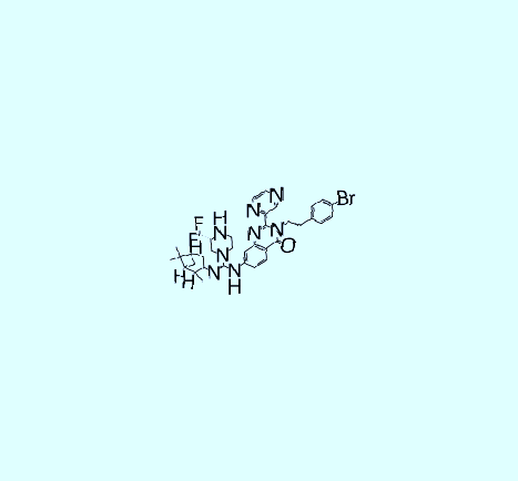 C[C@@H]1C(/N=C(/Nc2ccc3c(=O)n(CCc4ccc(Br)cc4)c(-c4cnccn4)nc3c2)N2CCN[C@@H](C(F)F)C2)C[C@H]2C[C@@H]1C2(C)C